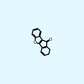 O=C1C2=C(C=CCC2)c2oc3ccccc3c21